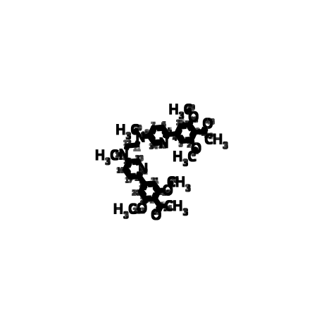 COc1cc(-c2ccc(N(C)CCN(C)c3ccc(-c4cc(OC)c(C(C)=O)c(OC)c4)nc3)cn2)cc(OC)c1C(C)=O